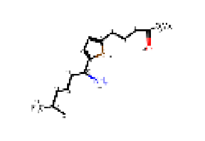 COC(=O)CCCc1ccc(C(N)CCCC(C)C(F)(F)F)s1